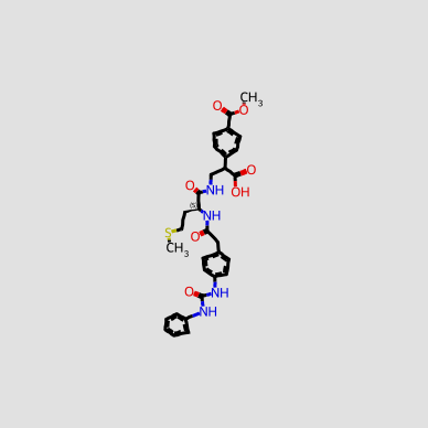 COC(=O)c1ccc(C(CNC(=O)[C@H](CCSC)NC(=O)Cc2ccc(NC(=O)Nc3ccccc3)cc2)C(=O)O)cc1